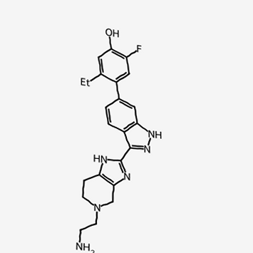 CCc1cc(O)c(F)cc1-c1ccc2c(-c3nc4c([nH]3)CCN(CCN)C4)n[nH]c2c1